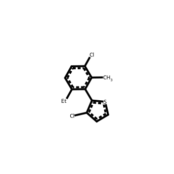 CCc1ccc(Cl)c(C)c1-c1sccc1Cl